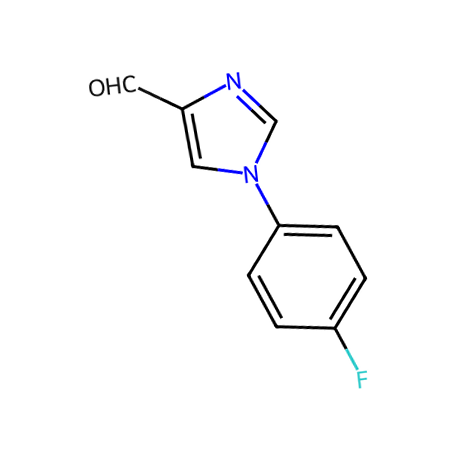 O=Cc1cn(-c2ccc(F)cc2)cn1